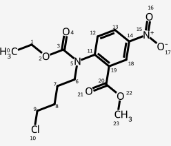 CCOC(=O)N(CCCCCl)c1ccc([N+](=O)[O-])cc1C(=O)OC